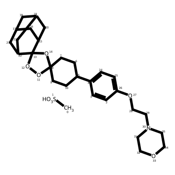 CS(=O)(=O)O.c1cc(C2CCC3(CC2)OOC2(O3)C3CC4CC(C3)CC2C4)ccc1OCCN1CCOCC1